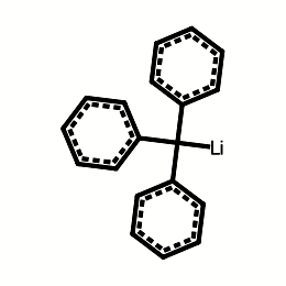 [Li][C](c1ccccc1)(c1ccccc1)c1ccccc1